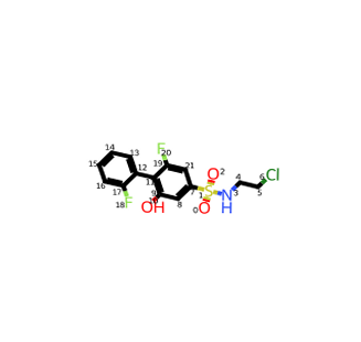 O=S(=O)(NCCCl)c1cc(O)c(-c2ccccc2F)c(F)c1